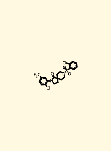 O=C1N(c2cc(C(F)(F)F)ccc2Cl)CCC12CCN(S(=O)(=O)c1ccccc1Cl)CC2